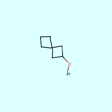 CC(C)OC1CC2(CCC2)C1